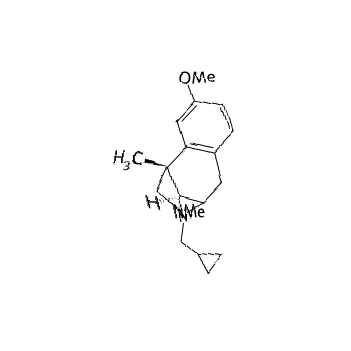 CN[C@@H]1C2Cc3ccc(OC)cc3[C@@]1(C)CN2CC1CC1